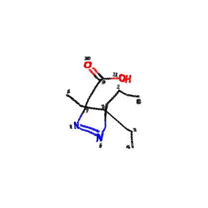 CCC1(CC)N=NC1(C)C(=O)O